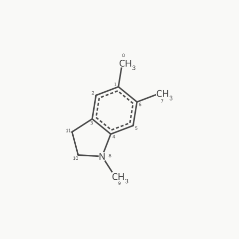 Cc1cc2c(cc1C)N(C)CC2